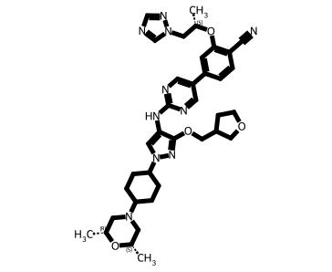 C[C@@H]1CN(C2CCC(n3cc(Nc4ncc(-c5ccc(C#N)c(O[C@@H](C)Cn6cncn6)c5)cn4)c(OCC4CCOC4)n3)CC2)C[C@H](C)O1